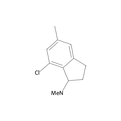 CNC1CCc2cc(C)cc(Cl)c21